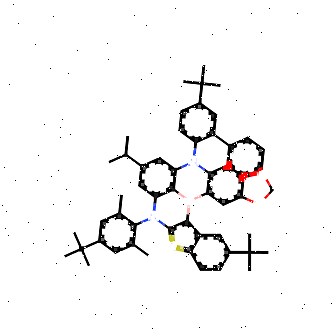 Cc1cc(C(C)(C)C)cc(C)c1N1c2cc(C(C)C)cc3c2B(c2cc4c(cc2N3c2ccc(C(C)(C)C)cc2-c2ccccc2)OCO4)c2c1sc1ccc(C(C)(C)C)cc21